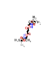 CC(C)S(=O)(=O)N[C@H](C)COC(=O)/C=C/C(=O)OC[C@@H](C)NS(=O)(=O)C(C)C